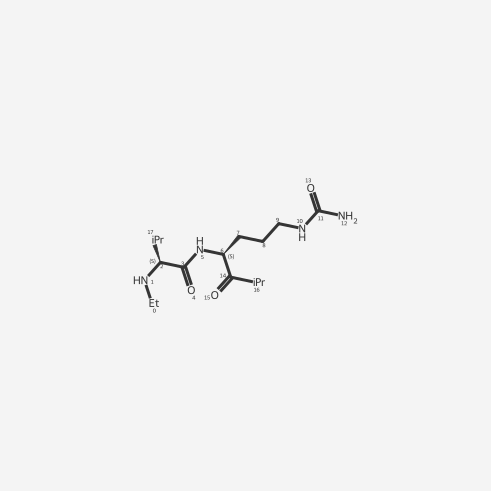 CCN[C@H](C(=O)N[C@@H](CCCNC(N)=O)C(=O)C(C)C)C(C)C